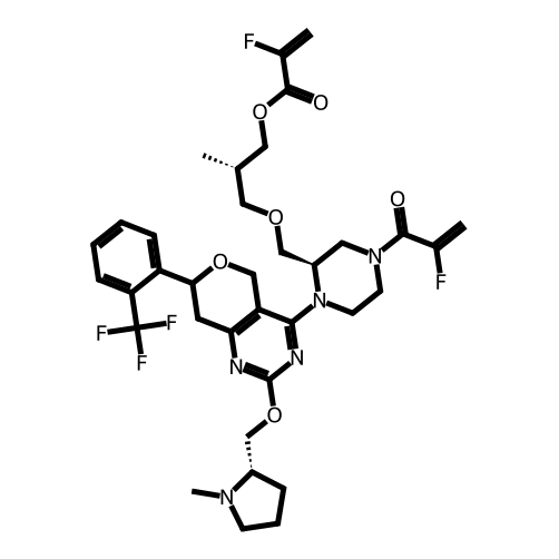 C=C(F)C(=O)OC[C@@H](C)COC[C@H]1CN(C(=O)C(=C)F)CCN1c1nc(OC[C@@H]2CCCN2C)nc2c1COC(c1ccccc1C(F)(F)F)C2